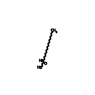 CCCCCCCCCCCCCCCCCCNC(=O)CCS